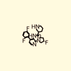 O=C(Nc1c(-c2cc(F)ccc2F)ccnc1N1CC[C@H](F)C1)C1CCCNC1